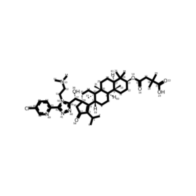 CC(C)C1=C2[C@H]3CC[C@@H]4[C@@]5(C)CC[C@H](OC(=O)CC(C)(C)C(=O)O)C(C)(C)[C@@H]5CC[C@@]4(C)[C@]3(C)CC[C@@]2([C@@H](O)c2nnc(-c3ccc(Cl)cn3)n2CCN(C)C)CC1=O